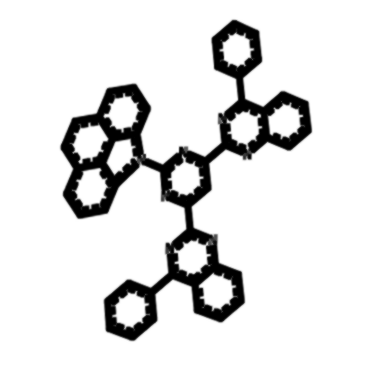 c1ccc(-c2nc(-c3cc(-c4nc(-c5ccccc5)c5ccccc5n4)nc(-n4c5cccc6ccc7cccc4c7c65)n3)nc3ccccc23)cc1